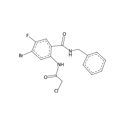 O=C(CCl)Nc1cc(Br)c(F)cc1C(=O)NCc1ccccc1